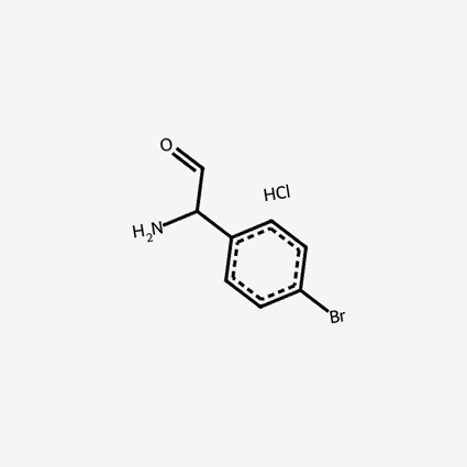 Cl.NC(C=O)c1ccc(Br)cc1